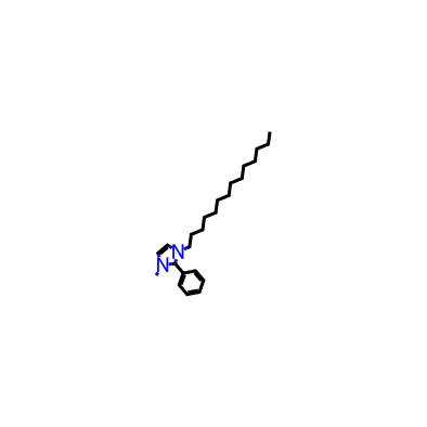 CCCCCCCCCCCCCCN1C=CN(C)C1c1ccccc1